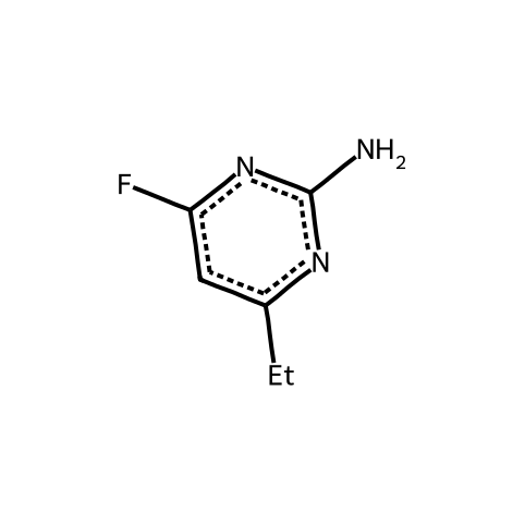 CCc1cc(F)nc(N)n1